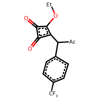 CCOc1c(C(C(C)=O)c2ccc(C(F)(F)F)cc2)c(=O)c1=O